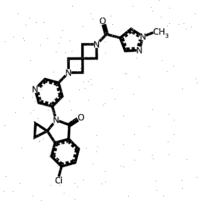 Cn1cc(C(=O)N2CC3(C2)CN(c2cncc(N4C(=O)c5ccc(Cl)cc5C45CC5)c2)C3)cn1